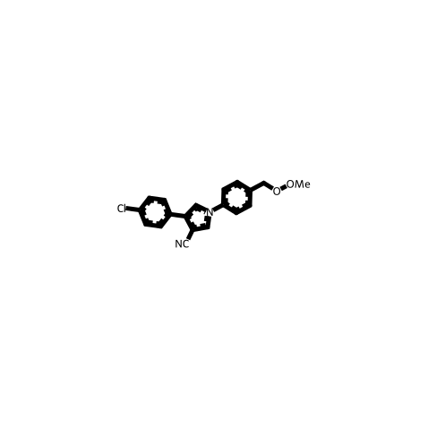 COOCc1ccc(-n2cc(C#N)c(-c3ccc(Cl)cc3)c2)cc1